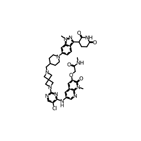 CNC(=O)COc1cc2cc(Nc3nc(N4CC5(CN(CC6CCN(c7ccc8c(C9CCC(=O)NC9=O)nn(C)c8c7)CC6)C5)C4)ncc3Cl)cnc2n(C)c1=O